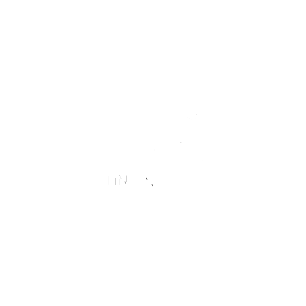 CC([S])c1cc[nH]n1